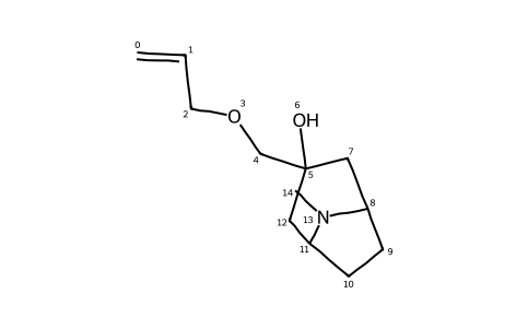 C=CCOCC1(O)CC2CCC(C1)N2C